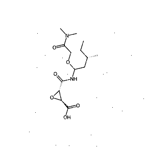 CC[C@H](C)CC(NC(=O)[C@H]1O[C@@H]1C(=O)O)OCC(=O)N(C)C